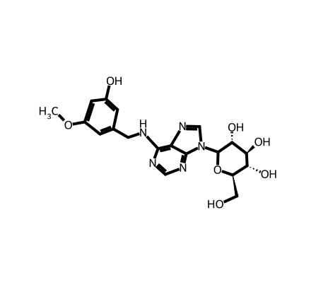 COc1cc(O)cc(CNc2ncnc3c2ncn3C2O[C@H](CO)[C@@H](O)[C@H](O)[C@H]2O)c1